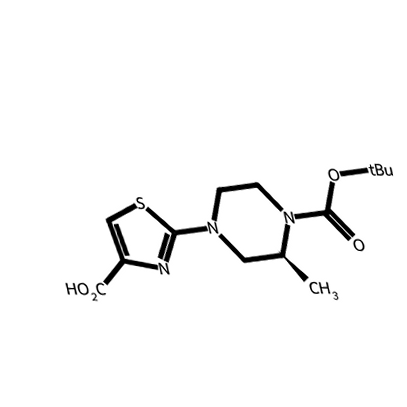 C[C@H]1CN(c2nc(C(=O)O)cs2)CCN1C(=O)OC(C)(C)C